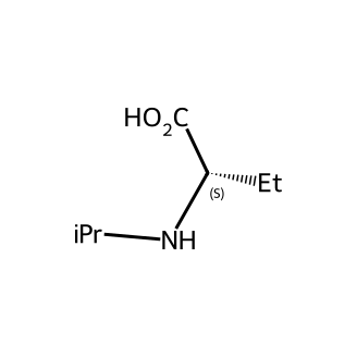 CC[C@H](NC(C)C)C(=O)O